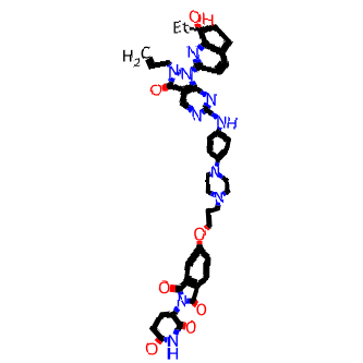 C=CCn1c(=O)c2cnc(Nc3ccc(N4CCN(CCCOc5ccc6c(c5)C(=O)N(C5CCC(=O)NC5=O)C6=O)CC4)cc3)nc2n1-c1ccc2c(n1)[C@@](O)(CC)CC2